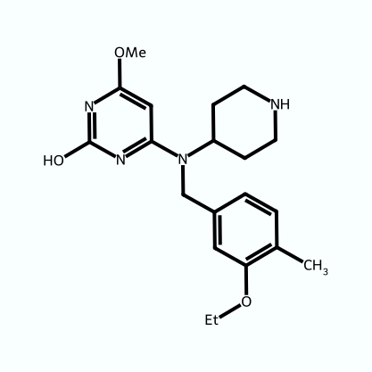 CCOc1cc(CN(c2cc(OC)nc(O)n2)C2CCNCC2)ccc1C